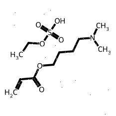 C=CC(=O)OCCCCN(C)C.CCOS(=O)(=O)O